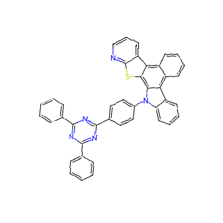 c1ccc(-c2nc(-c3ccccc3)nc(-c3ccc(-n4c5ccccc5c5c6ccccc6c6c7cccnc7sc6c54)cc3)n2)cc1